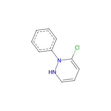 ClC1=CC=CNN1c1ccccc1